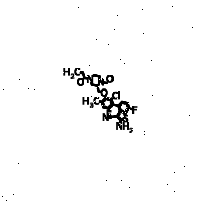 C=CC(=O)N1CCN(C=O)C(COc2c(C)cc(F)c(-c3ccc(F)c4sc(N)c(C#N)c34)c2Cl)C1